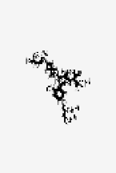 CNC[C@@H](O)COc1ccc(Cl)c(-c2nc(/C(C(C)=N)=C(\C)O)c(C)c(N3CC4(CC(N(C)CC(F)F)C4)C3)n2)c1